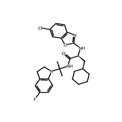 CC(C)(NC(=O)[C@H](CC1CCCCC1)Nc1nc2ccc(Cl)cc2o1)N1CCc2cc(F)ccc21